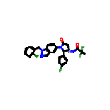 CC(F)(F)C(=O)NC1CC(=O)N(c2ccc3c(cnn3Cc3ccccc3F)c2)C1c1ccc(F)cc1